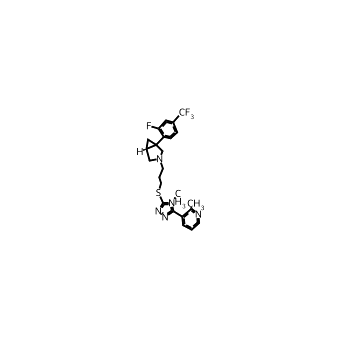 Cc1ncccc1-c1nnc(SCCCN2C[C@@H]3CC3(c3ccc(C(F)(F)F)cc3F)C2)n1C